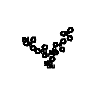 CC(C)(C)[Si](C)(C)Oc1ccc(-c2cccnc2N)cc1.[Pd].c1ccc(P(c2ccccc2)c2ccccc2)cc1.c1ccc(P(c2ccccc2)c2ccccc2)cc1.c1ccc(P(c2ccccc2)c2ccccc2)cc1.c1ccc(P(c2ccccc2)c2ccccc2)cc1